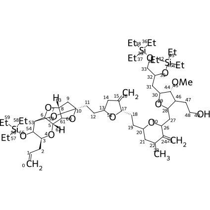 C=CC[C@@H]1O[C@@H]2C3O[C@@H]4C[C@](CCC5CC(=C)[C@H](CCC6CC(C)C(=C)C(CC7OC(CC(CO[Si](CC)(CC)CC)O[Si](CC)(CC)CC)[C@H](OC)C7CCO)O6)O5)(OC3C1O[Si](CC)(CC)CC)OC24